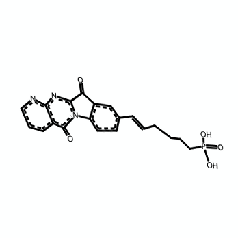 O=C1c2cc(/C=C/CCCCP(=O)(O)O)ccc2-n2c1nc1ncccc1c2=O